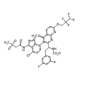 Cn1nc(NC(=O)CS(C)(=O)=O)c2c(Cl)ccc(-n3c(C(Cc4cc(F)cc(F)c4)NC(=O)O)nc4nc(OCC(F)(F)C(F)F)ccc4c3=O)c21